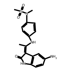 CC(Nc1ccc(N(C)S(C)(=O)=O)cc1)=C1C(=O)Nc2ccc(N)cc21